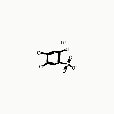 O=S(=O)([O-])c1cc(Cl)c(Cl)cc1Cl.[Li+]